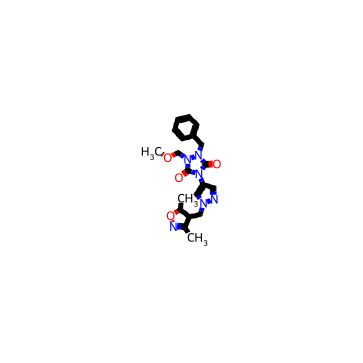 COCn1c(=O)n(-c2cnn(CC3C(C)=NOC3C)c2)c(=O)n1Cc1ccccc1